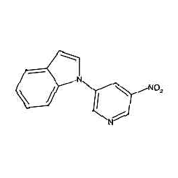 O=[N+]([O-])c1cncc(-n2ccc3ccccc32)c1